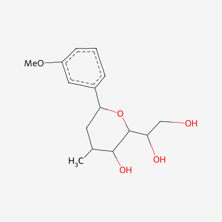 COc1cccc(C2CC(C)C(O)C(C(O)CO)O2)c1